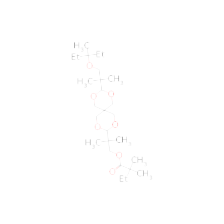 CCC(C)(CC)OCC(C)(C)C1OCC2(COC(C(C)(C)COC(=O)C(C)(C)CC)OC2)CO1